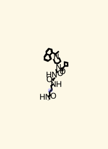 CNC(=O)/C=C/CNC(=O)CNC(=O)CN(C(=O)C1CCC1)C1CCN(C(C)c2cccc3ccccc23)CC1